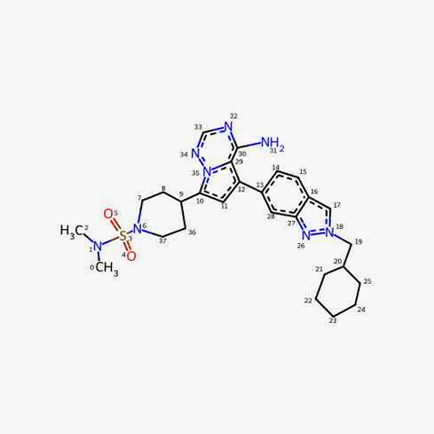 CN(C)S(=O)(=O)N1CCC(c2cc(-c3ccc4cn(CC5CCCCC5)nc4c3)c3c(N)ncnn23)CC1